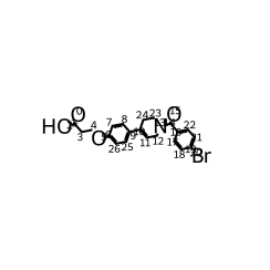 O=C(O)CCOc1ccc(C2=CCN(C(=O)c3ccc(Br)cc3)CC2)cc1